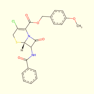 COc1ccc(COC(=O)C2=C(Cl)CS[C@H]3C(NC(=O)c4ccccc4)C(=O)N23)cc1